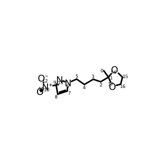 CC1(CCCCn2ccc([N+](=O)[O-])n2)OCCO1